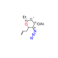 C=CCC1O[C@H](CC)[C@H](C)[C@H](OC(C)=O)[C@H]1N=[N+]=[N-]